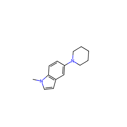 Cn1ccc2cc(N3CCCCC3)ccc21